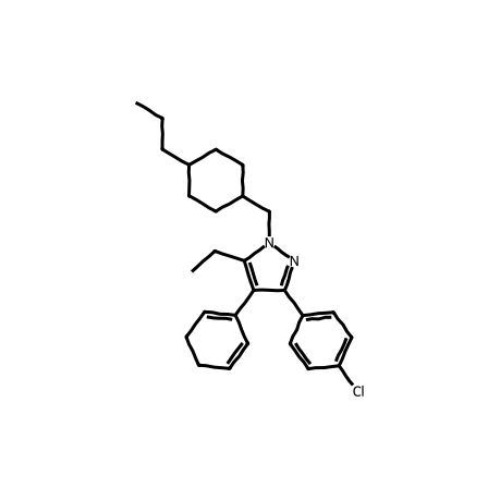 CCCC1CCC(Cn2nc(-c3ccc(Cl)cc3)c(C3=CCCC=C3)c2CC)CC1